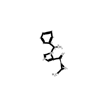 CC1O[C@@H]1C(=O)c1cncn1[C@H](C)c1ccccc1